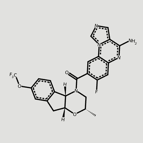 C[C@H]1CN(C(=O)c2cc3c(cc2F)nc(N)c2cncn23)[C@H]2c3ccc(OC(F)(F)F)cc3C[C@H]2O1